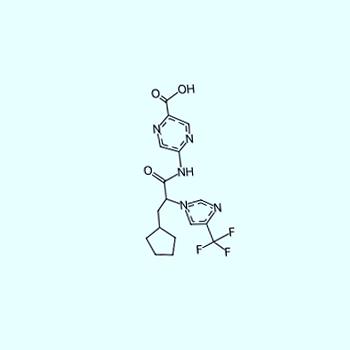 O=C(O)c1cnc(NC(=O)C(CC2CCCC2)n2cnc(C(F)(F)F)c2)cn1